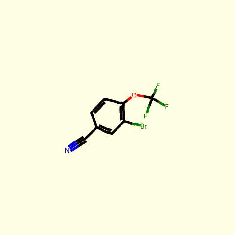 N#Cc1ccc(OC(F)(F)F)c(Br)c1